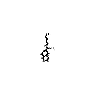 CCCCCNC(N)c1ccc2cnccc2c1